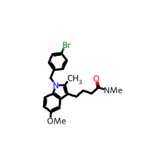 CNC(=O)CCCc1c(C)n(Cc2ccc(Br)cc2)c2ccc(OC)cc12